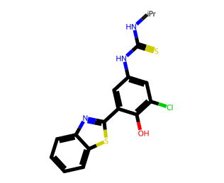 CC(C)NC(=S)Nc1cc(Cl)c(O)c(-c2nc3ccccc3s2)c1